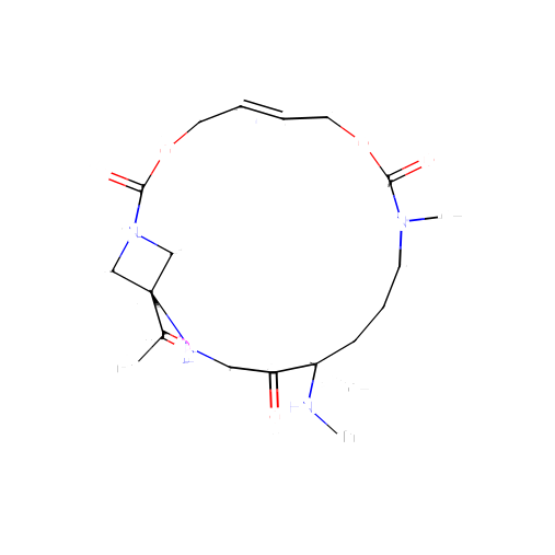 CC(C)N[C@]1(C)CCCN(C)C(=O)OC/C=C/COC(=O)N2CC(C(=O)C(C)C)(C2)NCC1=O